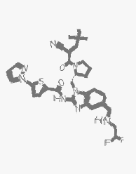 CC(C)(C)/C=C(\C#N)C(=O)N1CCC[C@@H]1Cn1c(NC(=O)c2ccc(-n3cccn3)s2)nc2cc(CNCC(F)F)ccc21